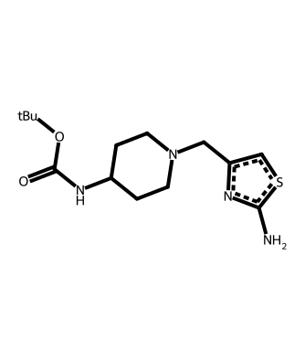 CC(C)(C)OC(=O)NC1CCN(Cc2csc(N)n2)CC1